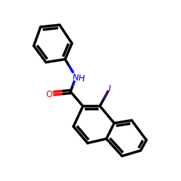 O=C(Nc1ccccc1)c1ccc2ccccc2c1I